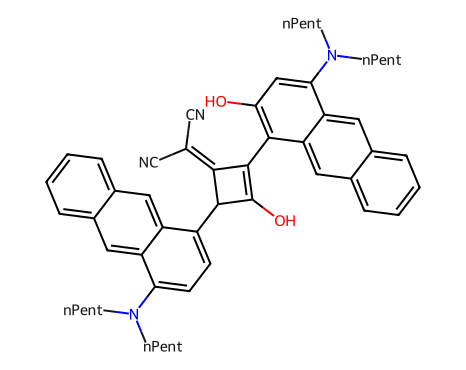 CCCCCN(CCCCC)c1ccc(C2C(O)=C(c3c(O)cc(N(CCCCC)CCCCC)c4cc5ccccc5cc34)C2=C(C#N)C#N)c2cc3ccccc3cc12